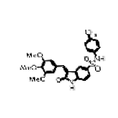 COc1cc(C=C2C(=O)Nc3ccc(S(=O)(=O)Nc4ccc(C(F)(F)F)cc4)cc32)cc(OC)c1OC